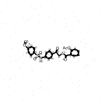 CC(=O)Oc1ccccc1C(=O)SCC(=O)c1ccc(NS(=O)(=O)c2ccc(OC(F)(F)F)cc2)cc1